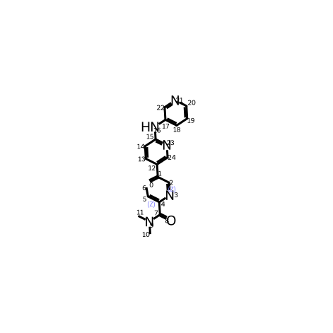 C=C(/C=N\C(=C/C)C(=O)N(C)C)c1ccc(Nc2cccnc2)nc1